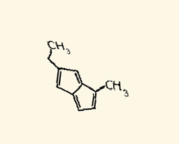 CCC1=CC2=CC=C(C)C2=C1